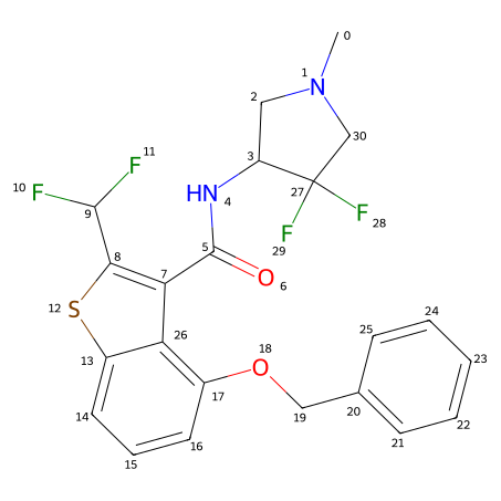 CN1CC(NC(=O)c2c(C(F)F)sc3cccc(OCc4ccccc4)c23)C(F)(F)C1